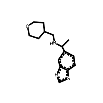 CC(NCC1CCOCC1)c1ccc2scnc2c1